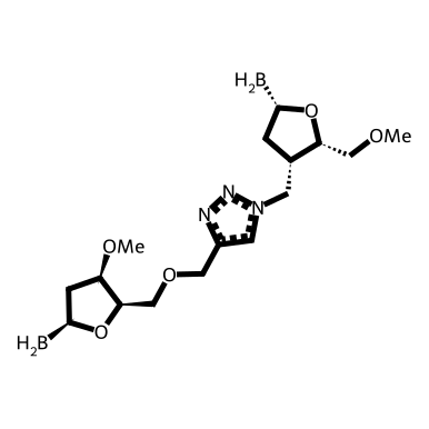 B[C@H]1C[C@@H](Cn2cc(COC[C@H]3O[C@@H](B)C[C@H]3OC)nn2)[C@@H](COC)O1